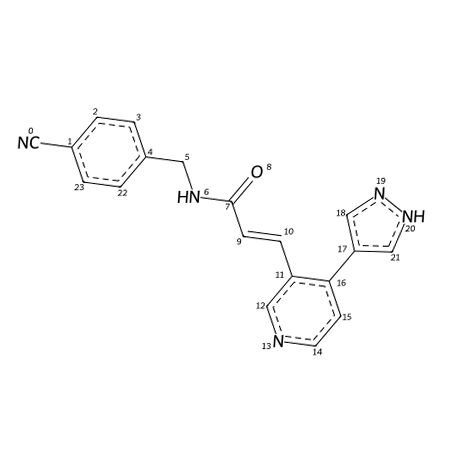 N#Cc1ccc(CNC(=O)/C=C/c2cnccc2-c2cn[nH]c2)cc1